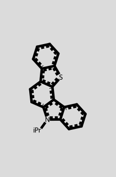 CC(C)n1c2ccccc2c2c3sc4ccccc4c3ccc21